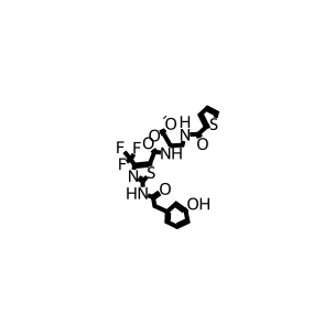 COC(=O)C(CNC(=O)c1cccs1)NC(=O)c1sc(NC(=O)Cc2cccc(O)c2)nc1C(F)(F)F